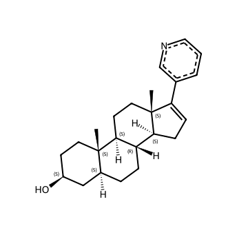 C[C@]12CC[C@H](O)C[C@@H]1CC[C@@H]1[C@@H]2CC[C@]2(C)C(c3cccnc3)=CC[C@@H]12